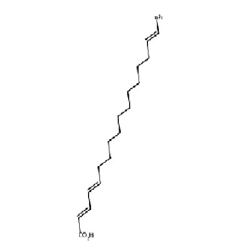 CCCC=CCCCCCCCCCCC=CC=CC(=O)O